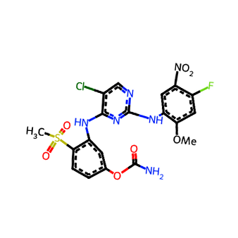 COc1cc(F)c([N+](=O)[O-])cc1Nc1ncc(Cl)c(Nc2cc(OC(N)=O)ccc2S(C)(=O)=O)n1